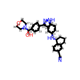 N#Cc1ccc2c(c1)CCC[C@@H]2Nc1ccc2[nH]nc(-c3ccc(C(O)N4CCOCC4)cc3)c2c1